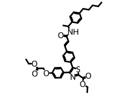 CCCCCc1ccc(C(C)NC(=O)C=Cc2ccc(-c3sc(C(=O)OCC)nc3-c3ccc(OCC(=O)OCC)cc3)cc2)cc1